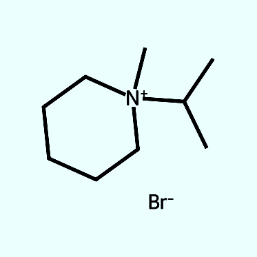 CC(C)[N+]1(C)CCCCC1.[Br-]